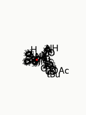 CC(=O)OCC1=C(C(=O)OC(C)(C)C)N2C(=O)[C@H](NC(=O)/C(=N\OC3CCNC3=O)c3csc(NC(c4ccccc4)(c4ccccc4)c4ccccc4)n3)[C@H]2SC1